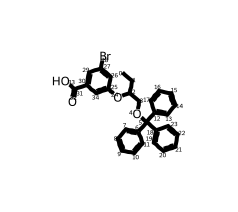 CCC(COC(c1ccccc1)(c1ccccc1)c1ccccc1)Oc1cc(Br)cc(C(=O)O)c1